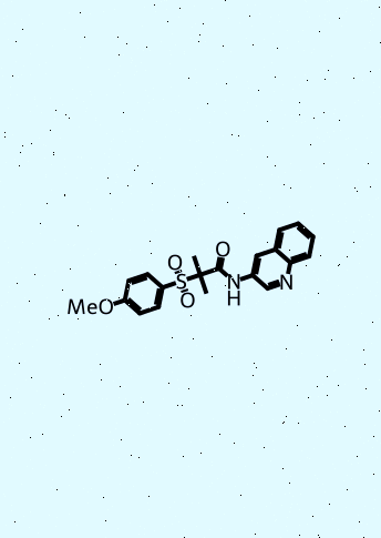 COc1ccc(S(=O)(=O)C(C)(C)C(=O)Nc2cnc3ccccc3c2)cc1